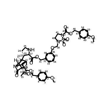 COc1ccc(COC(=O)C2=C3S[C@@]4(C(C)O)C(=O)N2[C@H]4[C@@]3(C)[C@@H]2CCNC2C(=O)OCc2cccc(OCN3CCN(C(=O)OCc4ccc(OC)cc4)S3(=O)=O)c2)cc1